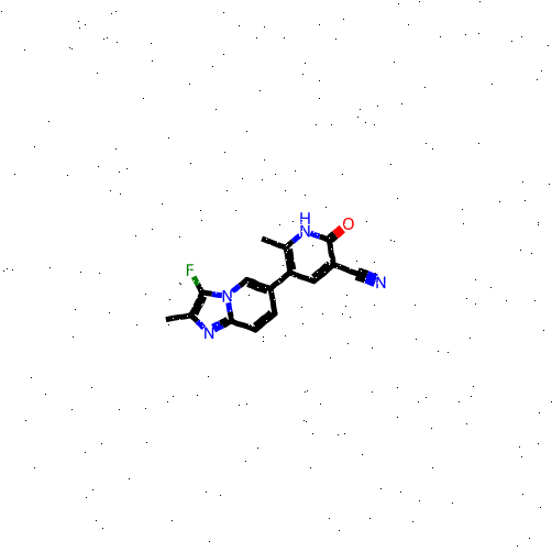 Cc1nc2ccc(-c3cc(C#N)c(=O)[nH]c3C)cn2c1F